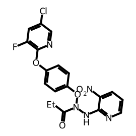 CCC(=O)N(Nc1ncccc1[N+](=O)[O-])Oc1ccc(Oc2ncc(Cl)cc2F)cc1